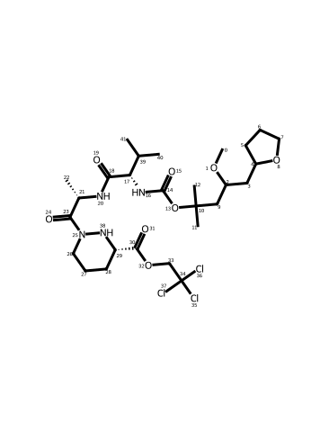 COC(CC1CCCO1)CC(C)(C)OC(=O)N[C@H](C(=O)N[C@@H](C)C(=O)N1CCC[C@@H](C(=O)OCC(Cl)(Cl)Cl)N1)C(C)C